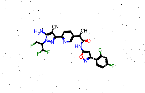 CC(C(=O)Nc1cc(-c2ccc(F)cc2Cl)no1)c1ccc(-c2nn(C(CF)C(F)F)c(N)c2C#N)nc1